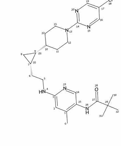 Cc1cc(NCC[C@@H]2C[C@@H]2C2CCN(c3ncc(Cl)cn3)CC2)ncc1NC(=O)C(C)(C)C